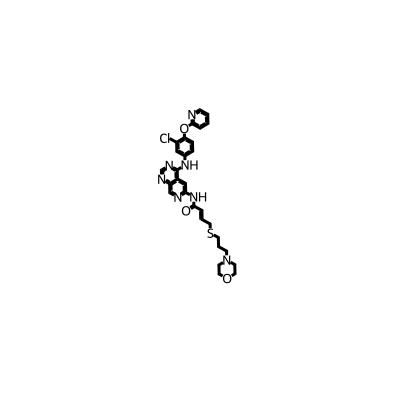 O=C(C=CCSCCCN1CCOCC1)Nc1cc2c(Nc3ccc(Oc4ccccn4)c(Cl)c3)ncnc2cn1